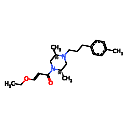 CCOC=CC(=O)N1C[C@@H](C)N(CCCc2ccc(C)cc2)C[C@@H]1C